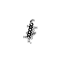 CC(C)CN1CCc2c(O)c3c(c(F)c2C1)CC1C[C@H]2CC(O)=C(C(N)=O)C(=O)[C@@]2(O)C(O)=C1C3=O